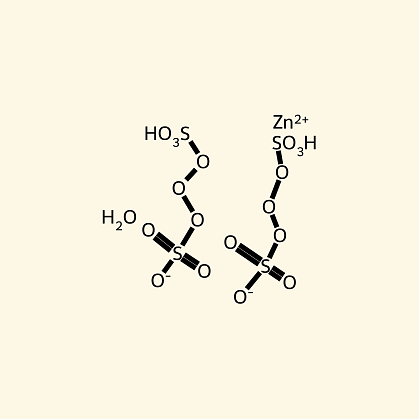 O.O=S(=O)([O-])OOOS(=O)(=O)O.O=S(=O)([O-])OOOS(=O)(=O)O.[Zn+2]